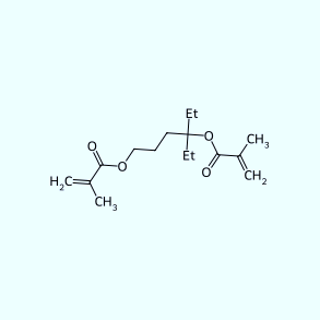 C=C(C)C(=O)OCCCC(CC)(CC)OC(=O)C(=C)C